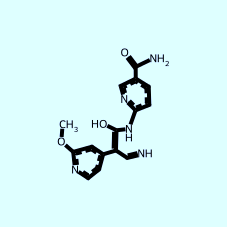 COc1cc(/C(C=N)=C(\O)Nc2ccc(C(N)=O)cn2)ccn1